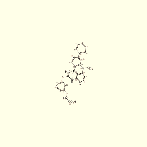 CC(Cc1cccc(CNC(=O)O)c1)Nc1nccc(N(C)c2nc(-c3ccccc3)ncc2F)n1